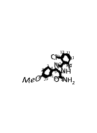 COc1ccc(-c2nc(-c3c(F)cccc3Cl)[nH]c2C(N)=O)cc1